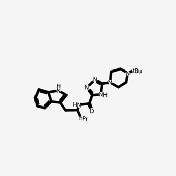 CCCC(Cc1c[nH]c2ccccc12)NC(=O)c1nnc(N2CCN(C(C)(C)C)CC2)[nH]1